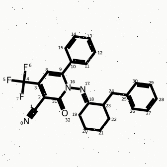 N#Cc1c(C(F)(F)F)cc(-c2ccccc2)n(/N=C2\CCCCC2Cc2ccccc2)c1=O